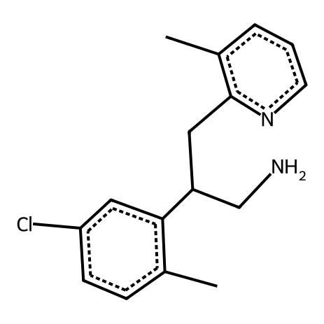 Cc1ccc(Cl)cc1C(CN)Cc1ncccc1C